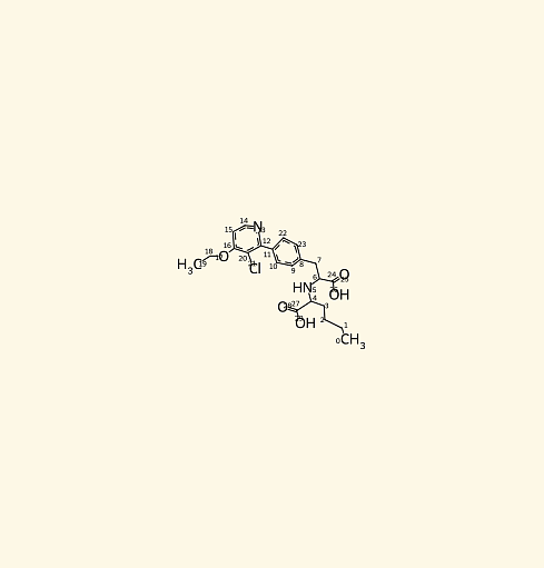 CCCCC(NC(Cc1ccc(-c2nccc(OCC)c2Cl)cc1)C(=O)O)C(=O)O